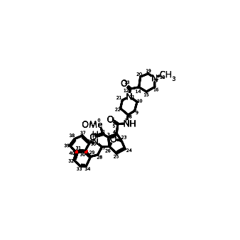 COC(=O)C1=C(C(=O)NC2CCN(C(=O)C3CCN(C)CC3)CC2)C2C=CC1(C(Cc1ccccc1)Nc1ccccc1)O2